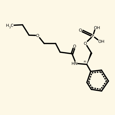 CCCOCCCC(=O)N[C@@H](COP(=O)(O)O)c1ccccc1